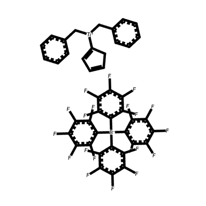 C1=CC[C]([Ti+]([CH2]c2ccccc2)[CH2]c2ccccc2)=C1.Fc1c(F)c(F)c([B-](c2c(F)c(F)c(F)c(F)c2F)(c2c(F)c(F)c(F)c(F)c2F)c2c(F)c(F)c(F)c(F)c2F)c(F)c1F